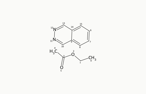 CCOC(C)=O.c1ccc2cnncc2c1